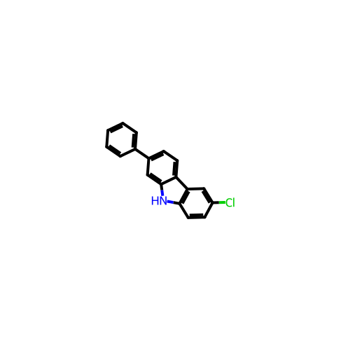 Clc1ccc2[nH]c3cc(-c4ccccc4)ccc3c2c1